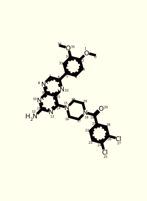 COc1ccc(-c2cnc3nc(N)nc(N4CCN(C(=O)c5ccc(Cl)c(Cl)c5)CC4)c3n2)cc1OC